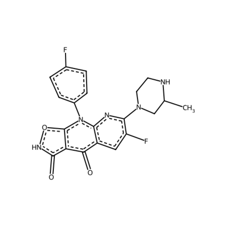 CC1CN(c2nc3c(cc2F)c(=O)c2c(=O)[nH]oc2n3-c2ccc(F)cc2)CCN1